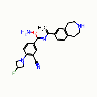 C=C(/N=C(\ON)c1ccc(N2CC(F)C2)c(C#N)c1)c1ccc2c(c1)CCNCC2